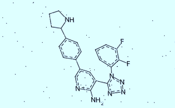 Nc1ncc(-c2ccc(C3CCCN3)cc2)cc1-c1nnnn1-c1cccc(F)c1F